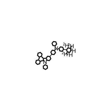 [2H]c1c([2H])c([2H])c(-c2ccc(N(c3ccccc3)c3ccc(-c4ccc5c(c4)c4c6ccccc6c6ccccc6c4n5-c4ccccc4)cc3)cc2)c([2H])c1[2H]